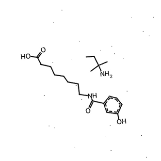 CCC(C)(C)N.O=C(O)CCCCCCCNC(=O)c1cccc(O)c1